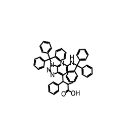 CC(C(=O)O)C(c1ccccc1)c1cc(NC(c2ccccc2)(c2ccccc2)c2ccccc2)nc2c1nnn2C(c1ccccc1)(c1ccccc1)c1ccccc1